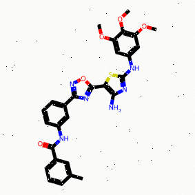 COc1cc(Nc2nc(N)c(-c3nc(-c4cccc(NC(=O)c5cccc(C)c5)c4)no3)s2)cc(OC)c1OC